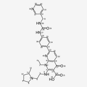 CCn1c(NCCN2CCCC2C)c(C(=O)O)c(=O)c2ccc(-c3ccc(NC(=O)NCc4cccnc4)cc3)nc21